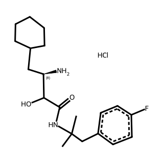 CC(C)(Cc1ccc(F)cc1)NC(=O)C(O)[C@H](N)CC1CCCCC1.Cl